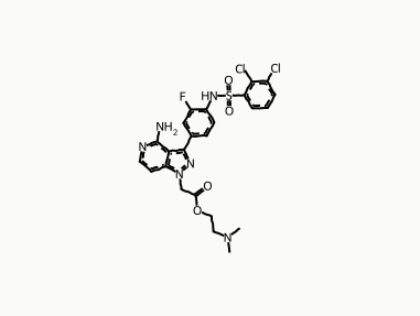 CN(C)CCOC(=O)Cn1nc(-c2ccc(NS(=O)(=O)c3cccc(Cl)c3Cl)c(F)c2)c2c(N)nccc21